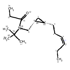 CC/C=C\CC[C@H]1C[C@H]1CN(C(=O)CC)C(C)(C)C